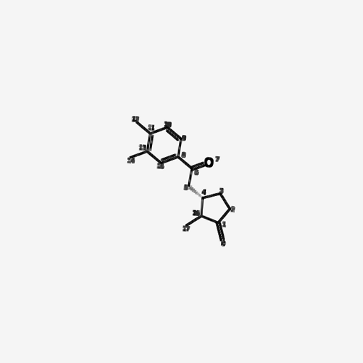 C=C1CC[C@@H](CC(=O)c2ccc(C)c(C)c2)C1C